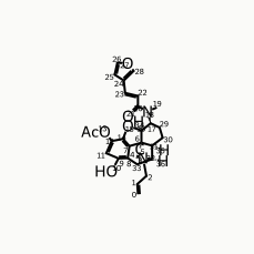 C=CCN1CC[C@]23c4c5c(O)cc(OC(C)=O)c4O[C@H]2[C@@H](N(C)C(=O)/C=C/c2ccoc2)CC[C@H]3[C@H]1C5